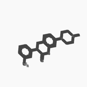 CN1CCN(c2ccc3c(c2)OC(=O)C(c2cccc(C(F)(F)F)c2)C3)CC1